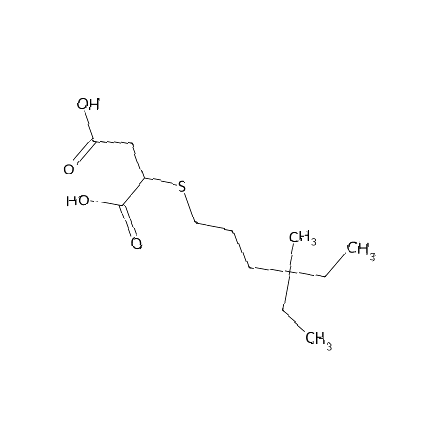 CCC(C)(CC)CCCSC(CC(=O)O)C(=O)O